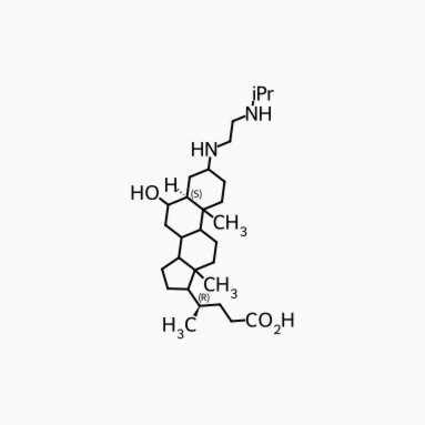 CC(C)NCCNC1CCC2(C)C3CCC4(C)C(CCC4[C@H](C)CCC(=O)O)C3CC(O)[C@H]2C1